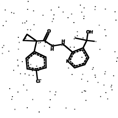 CC(C)(O)c1cccnc1NNC(=O)C1(c2ccc(Cl)cc2)CC1